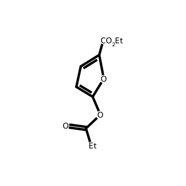 CCOC(=O)c1ccc(OC(=O)CC)o1